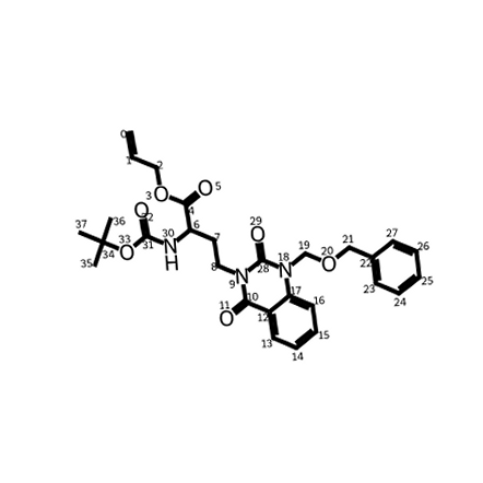 C=CCOC(=O)C(CCn1c(=O)c2ccccc2n(COCc2ccccc2)c1=O)NC(=O)OC(C)(C)C